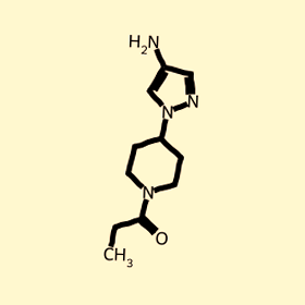 CCC(=O)N1CCC(n2cc(N)cn2)CC1